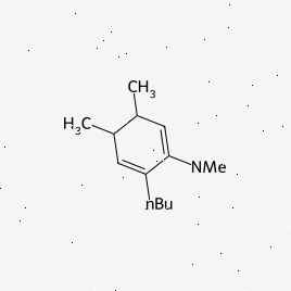 CCCCC1=CC(C)C(C)C=C1NC